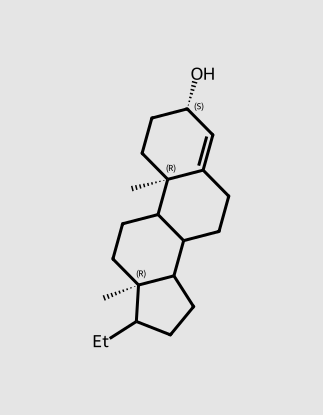 CCC1CCC2C3CCC4=C[C@@H](O)CC[C@]4(C)C3CC[C@]12C